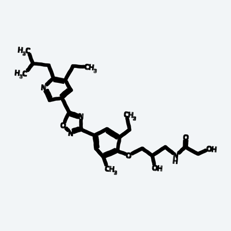 CCc1cc(-c2nc(-c3cc(C)c(OCC(O)CNC(=O)CO)c(CC)c3)no2)cnc1CC(C)C